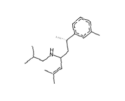 CC(C)=CC(C[C@H](C)c1cccc(C)c1)NCC(C)C